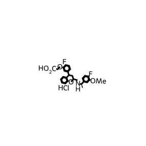 COc1cc([C@@H](C)NCC2CC(c3ccc(F)c(OCC(=O)O)c3)c3ccccc3O2)ccc1F.Cl